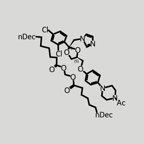 CC(=O)N1CCN(c2ccc(OC[C@H]3CO[C@](Cn4ccnc4)(c4ccc(Cl)cc4Cl)O3)cc2)CC1.CCCCCCCCCCCCCCCC(=O)OCOC(=O)CCCCCCCCCCCCCCC